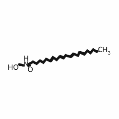 CCCCCC=CCC=CCC=CCC=CCCCCCC(=O)NCCO